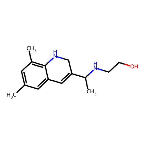 Cc1cc(C)c2c(c1)C=C(C(C)NCCO)CN2